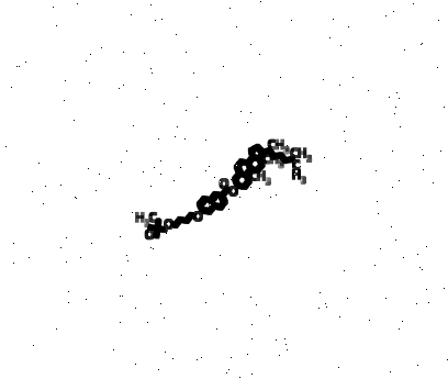 CCC1(COCCCCOc2ccc3cc(C(=O)OC4CCC5(C)C(=CCC6C5CCC5(C)C(C(C)CCCC(C)C)CCC65)C4)ccc3c2)COC1